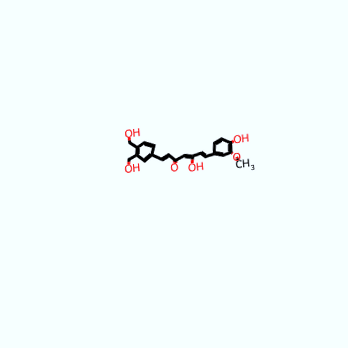 COc1cc(/C=C/C(O)=C/C(=O)/C=C/c2ccc(CO)c(CO)c2)ccc1O